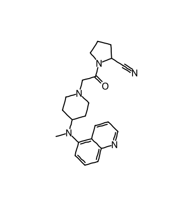 CN(c1cccc2ncccc12)C1CCN(CC(=O)N2CCCC2C#N)CC1